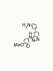 COc1ccc(Nc2ncnc3ccc(-c4cccc(N)c4)cc23)cc1Cl